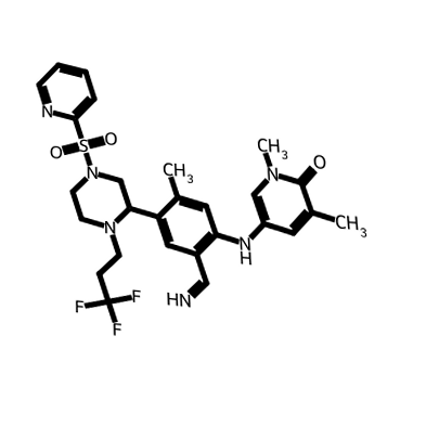 Cc1cc(Nc2cc(C)c(=O)n(C)c2)c(C=N)cc1C1CN(S(=O)(=O)c2ccccn2)CCN1CCC(F)(F)F